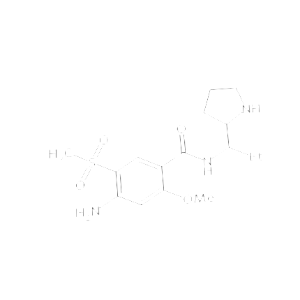 CCC(NC(=O)c1cc(S(C)(=O)=O)c(N)cc1OC)C1CCCN1